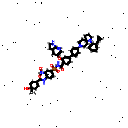 CC1(O)CCC(CNc2ccc(S(=O)(=O)NC(=O)c3ccc(-c4ccc(N5CCC6(CCCN6c6ccccc6C6CC6)CC5)cc4)cc3Oc3cnc4[nH]ccc4c3)cc2[N+](=O)[O-])CC1